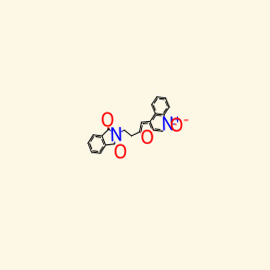 O=C1c2ccccc2C(=O)N1CCc1cc2c(c[n+]([O-])c3ccccc23)o1